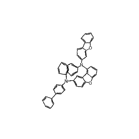 c1ccc(-c2ccc(N(c3ccccc3)c3ccc4oc5cccc(N(c6ccccc6)c6ccc7c(c6)oc6ccccc67)c5c4c3)cc2)cc1